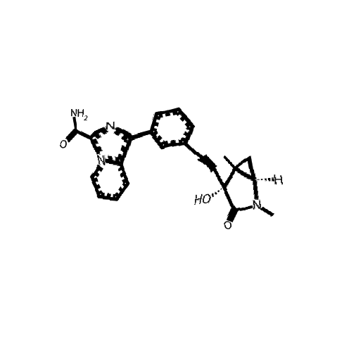 CN1C(=O)[C@@](O)(C#Cc2cccc(-c3nc(C(N)=O)n4ccccc34)c2)C2(C)C[C@@H]12